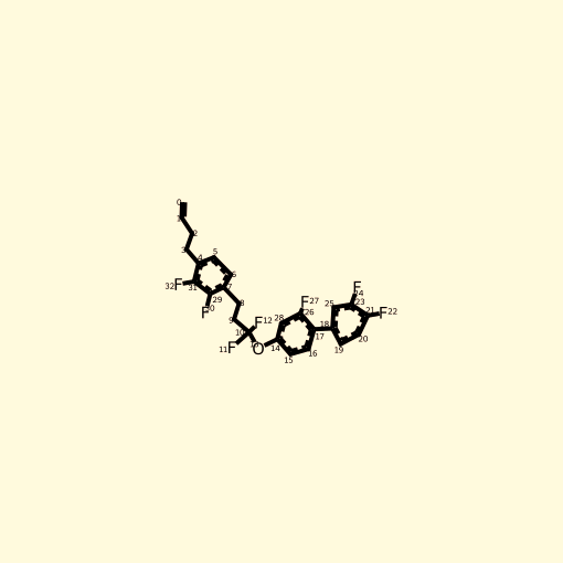 C=CCCc1ccc(CCC(F)(F)Oc2ccc(-c3ccc(F)c(F)c3)c(F)c2)c(F)c1F